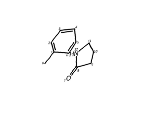 Cc1ccccc1.O=C1CCCN1